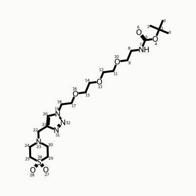 CC(C)(C)OC(=O)NCCOCCOCCOCCn1cc(CN2CCS(=O)(=O)CC2)nn1